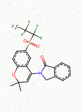 CC1(C)C=C(N2Cc3ccccc3C2=O)c2cc(S(=O)(=O)C(F)(F)C(F)(F)C(F)(F)F)ccc2O1